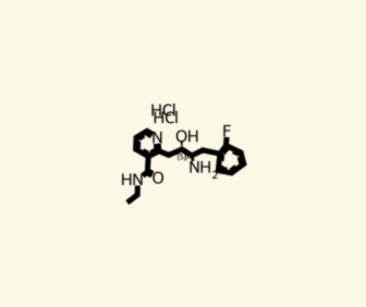 CCNC(=O)c1cccnc1C[C@H](O)[C@H](N)Cc1ccccc1F.Cl.Cl